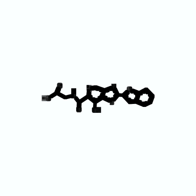 O=C(O)CNC(=O)c1ncc2nc(-c3cc4ccccc4o3)sc2c1O